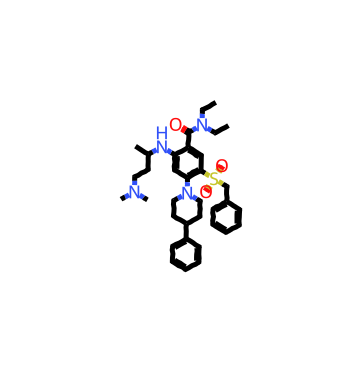 CCN(CC)C(=O)c1cc(S(=O)(=O)Cc2ccccc2)c(N2CCC(c3ccccc3)CC2)cc1NC(C)CCN(C)C